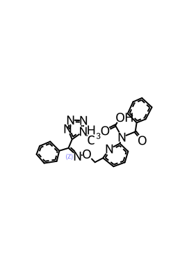 Cn1nnnc1/C(=N\OCc1cccc(N(C(=O)O)C(=O)c2ccccc2)n1)c1ccccc1